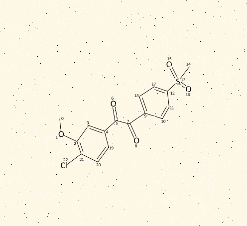 COc1cc(C(=O)C(=O)c2ccc(S(C)(=O)=O)cc2)ccc1Cl